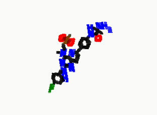 CN(CCS(C)(=O)=O)c1nc(NCc2ccc(F)cc2)nc2ccc(-c3ccc(NC(=O)C(C)(C)N)cc3)nc12